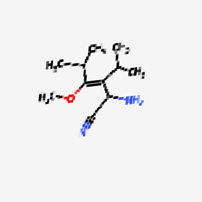 CO/C(=C(/C(C)C)C(N)C#N)C(C)C